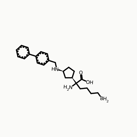 BCCCCC(N)(C(=O)O)[C@@H]1CC[C@H](NCc2ccc(-c3ccccc3)cc2)C1